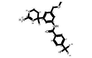 COCc1cc(NC(=O)c2ccc(C(F)(F)F)cc2)cc(C2(C)CCSC(N)=N2)c1